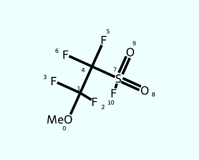 COC(F)(F)C(F)(F)S(=O)(=O)F